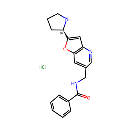 Cl.O=C(NCc1cnc2cc([C@H]3CCCN3)oc2c1)c1ccccc1